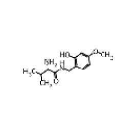 COc1ccc(CNC(=O)[C@@H](N)C(C)C)c(O)c1